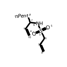 C=CCS(=O)(=O)NC([CH]CCCC)C=C